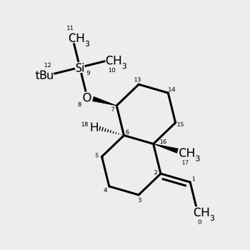 CC=C1CCC[C@H]2[C@@H](O[Si](C)(C)C(C)(C)C)CCC[C@]12C